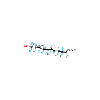 CCCCCCCCCCC(F)C(F)(F)C(F)(F)C(F)(F)C(F)(F)C(F)(F)C(F)(F)C(F)(F)C(F)(F)C(O)(F)F